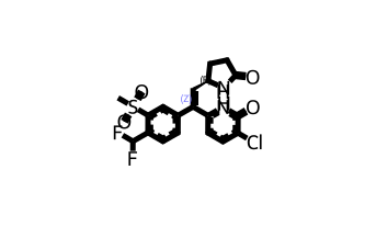 CS(=O)(=O)c1cc(/C(=C/[C@H]2CCC(=O)N2)c2ccc(Cl)c(=O)[nH]2)ccc1C(F)F